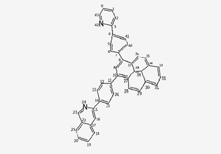 c1ccc(-c2ccc(-c3cc(-c4ccc(-c5cc6ccccc6cn5)cc4)c4ccc5cccc6ccc3c4c65)cc2)nc1